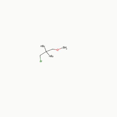 CCCCC(CBr)(CCCC)CO[SiH3]